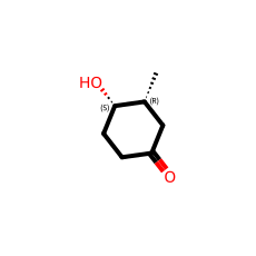 C[C@@H]1CC(=O)CC[C@@H]1O